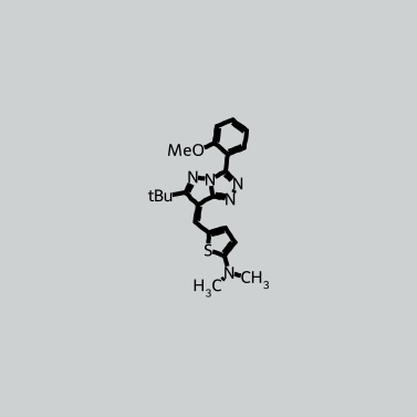 COc1ccccc1-c1nnc2/c(=C\c3ccc(N(C)C)s3)c(C(C)(C)C)nn12